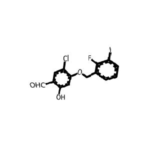 O=Cc1cc(Cl)c(OCc2cccc(I)c2F)cc1O